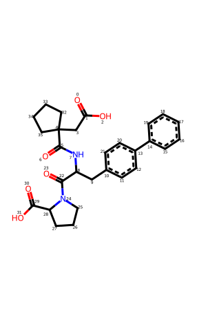 O=C(O)CC1(C(=O)NC(Cc2ccc(-c3ccccc3)cc2)C(=O)N2CCCC2C(=O)O)CCCC1